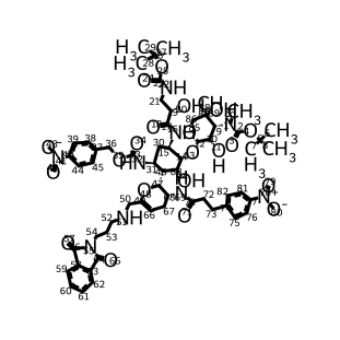 CN(C(=O)OC(C)(C)C)[C@@H]1[C@@H](O)[C@@H](O[C@H]2[C@H](NC(=O)[C@@H](O)CNC(=O)OC(C)(C)C)C[C@H](NC(=O)OCc3ccc([N+](=O)[O-])cc3)C([C@H]3OC(CNCCCN4C(=O)c5ccccc5C4=O)=CC[C@H]3NC(=O)CCc3ccc([N+](=O)[O-])cc3)[C@@H]2O)OC[C@]1(C)O